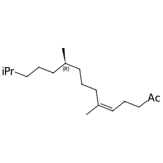 CC(=O)CCC=C(C)CCC[C@H](C)CCCC(C)C